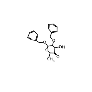 CC1O[C@@H](OCc2ccccc2)C(OCc2ccccc2)C(O)C1=O